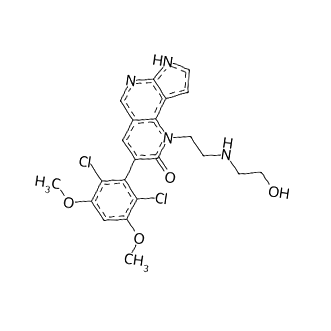 COc1cc(OC)c(Cl)c(-c2cc3cnc4[nH]ccc4c3n(CCNCCO)c2=O)c1Cl